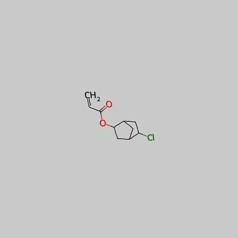 C=CC(=O)OC1CC2CC1CC2Cl